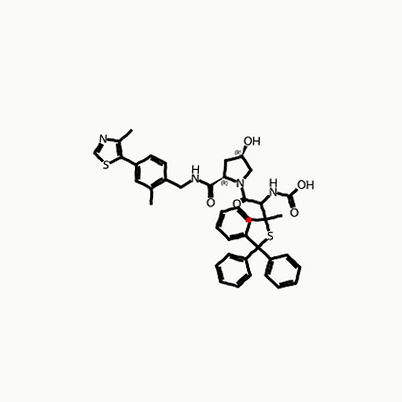 Cc1cc(-c2scnc2C)ccc1CNC(=O)[C@H]1C[C@@H](O)CN1C(=O)C(NC(=O)O)C(C)(C)SC(c1ccccc1)(c1ccccc1)c1ccccc1